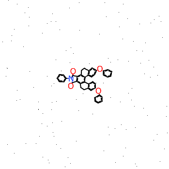 O=C1c2c3c(c4c(c2C(=O)N1c1ccccc1)CCc1cc(Oc2ccccc2)ccc1-4)-c1ccc(Oc2ccccc2)cc1CC3